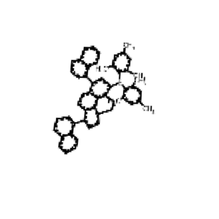 Cc1cc(C)c(B(c2cc(-c3cccc4ccccc34)c3ccc4c(-c5cccc6ccccc56)ccc5c4c3c2CC5)c2c(C)cc(C)cc2C)c(C)c1